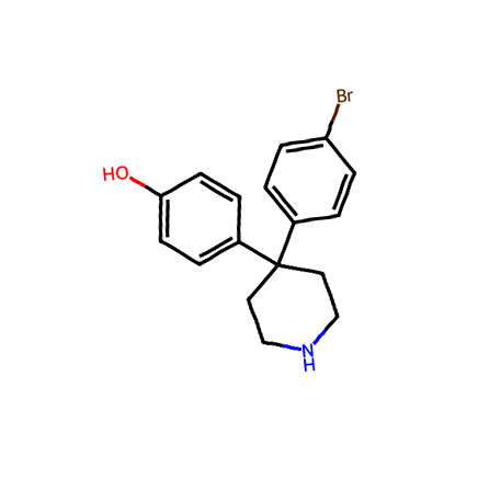 Oc1ccc(C2(c3ccc(Br)cc3)CCNCC2)cc1